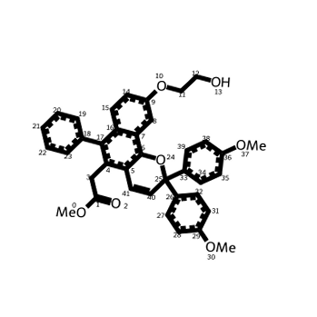 COC(=O)Cc1c2c(c3cc(OCCO)ccc3c1-c1ccccc1)OC(c1ccc(OC)cc1)(c1ccc(OC)cc1)C=C2